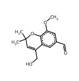 COc1cc(C=O)cc2c1OC(C)(C)C=C2CO